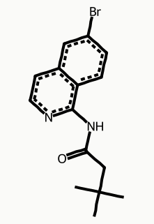 CC(C)(C)CC(=O)Nc1nccc2cc(Br)ccc12